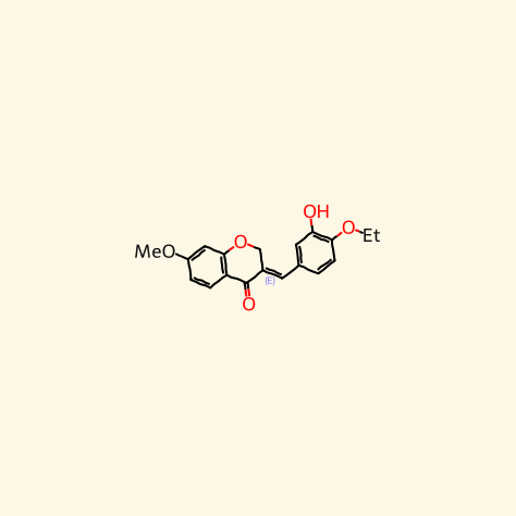 CCOc1ccc(/C=C2\COc3cc(OC)ccc3C2=O)cc1O